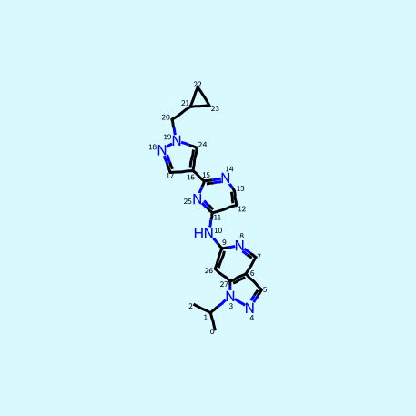 CC(C)n1ncc2cnc(Nc3ccnc(-c4cnn(CC5CC5)c4)n3)cc21